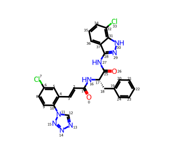 O=C(C=Cc1cc(Cl)ccc1-n1cnnn1)N[C@@H](Cc1ccccc1)C(=O)Nc1n[nH]c2c(Cl)cccc12